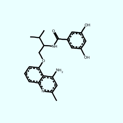 Cc1cc(N)c2c(OCC(NC(=O)c3cc(O)cc(O)c3)C(C)C)cccc2n1